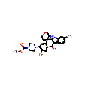 CC(C)(C)OC(=O)N1CCN(c2cc3c(cc2Br)C(=O)c2c([nH]c4cc(C#N)ccc24)C32CCOCC2)CC1